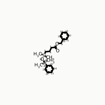 C[Si](C)(CCCC(=O)OCc1ccccc1)O[Si](C)(C)c1ccccc1